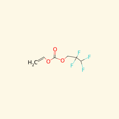 C=COC(=O)OCC(F)(F)C(F)F